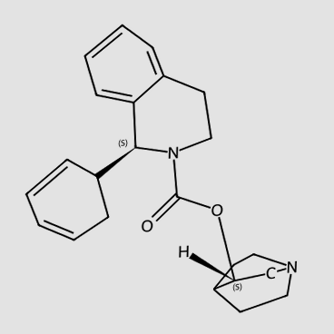 O=C(O[C@@H]1CN2CCC1CC2)N1CCc2ccccc2[C@@H]1C1C=CC=CC1